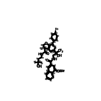 COc1cc(C(=O)NCC(O)(c2cc3c(c(-c4ccc(F)cc4)n2)OC[C@]3(C)C(=O)NCCC(C)(C)O)C(F)(F)F)cc2cccnc12